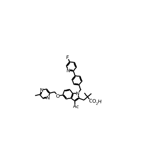 CC(=O)c1c(CC(C)(C)C(=O)O)n(Cc2ccc(-c3ccc(F)cn3)cc2)c2ccc(OCc3cnc(C)cn3)cc12